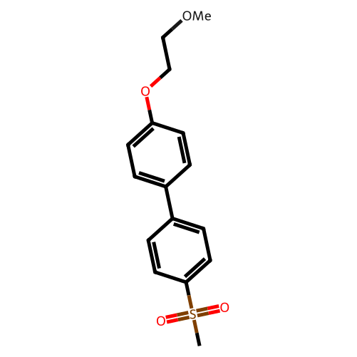 COCCOc1ccc(-c2ccc(S(C)(=O)=O)cc2)cc1